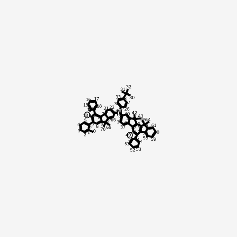 Cc1ccccc1-c1cc2c(c3c1oc1ccccc13)-c1ccc(N(c3ccc(C(C)(C)C)cc3)c3ccc4c(c3)C(C)(C)c3c5c(c6c(oc7ccccc76)c3-4)-c3ccccc3C5(C)C)cc1C2(C)C